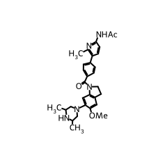 COc1cc2c(cc1N1CC(C)NC(C)C1)N(C(=O)c1ccc(-c3ccc(NC(C)=O)nc3C)cc1)CC2